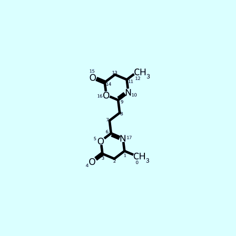 CC1CC(=O)OC(CCC2=NC(C)CC(=O)O2)=N1